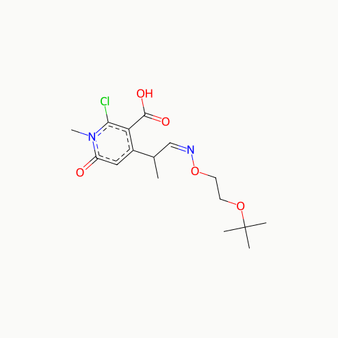 CC(/C=N\OCCOC(C)(C)C)c1cc(=O)n(C)c(Cl)c1C(=O)O